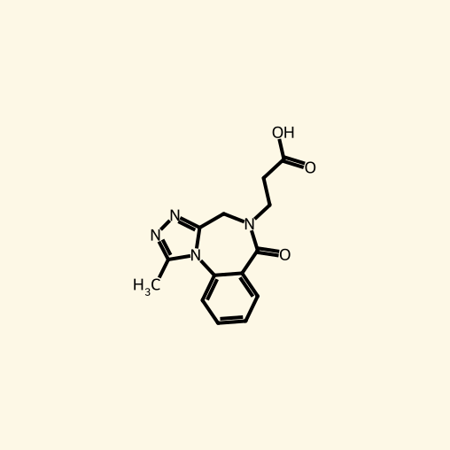 Cc1nnc2n1-c1ccccc1C(=O)N(CCC(=O)O)C2